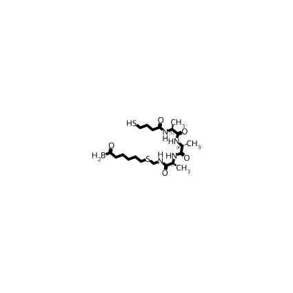 BC(=O)CCCCCSCNC(=O)[C@H](C)NC(=O)[C@@H](C)NC(=O)[C@H](C)NC(=O)CCCS